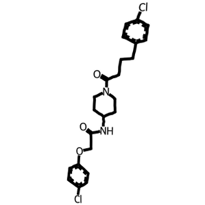 O=C(COc1ccc(Cl)cc1)NC1CCN(C(=O)CCCc2ccc(Cl)cc2)CC1